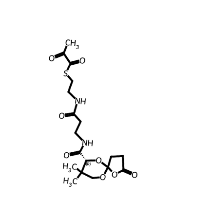 CC(=O)C(=O)SCCNC(=O)CCNC(=O)[C@@H]1OC2(CCC(=O)O2)OCC1(C)C